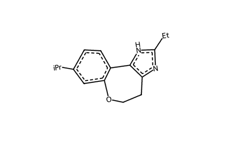 CCc1nc2c([nH]1)-c1ccc(C(C)C)cc1OCC2